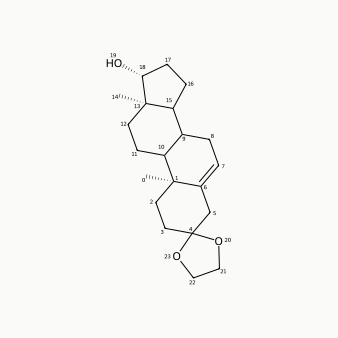 C[C@@]12CCC3(CC1=CCC1C2CC[C@]2(C)C1CC[C@H]2O)OCCO3